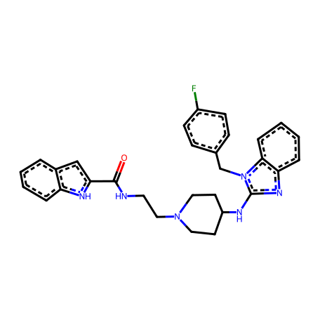 O=C(NCCN1CCC(Nc2nc3ccccc3n2Cc2ccc(F)cc2)CC1)c1cc2ccccc2[nH]1